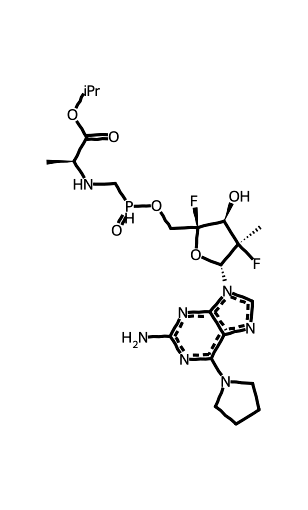 CC(C)OC(=O)[C@H](C)NC[PH](=O)OC[C@@]1(F)O[C@@H](n2cnc3c(N4CCCC4)nc(N)nc32)[C@](C)(F)[C@@H]1O